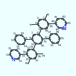 Cc1cc(C)c(-c2cc(-c3ccccc3)c(-c3cc(-c4cccnc4)c(C)cc3C)cc2-c2ccccc2)cc1-c1cccnc1